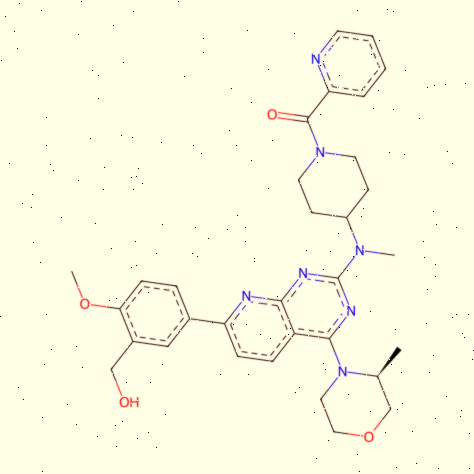 COc1ccc(-c2ccc3c(N4CCOC[C@@H]4C)nc(N(C)C4CCN(C(=O)c5ccccn5)CC4)nc3n2)cc1CO